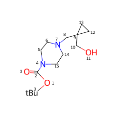 CC(C)(C)OC(=O)N1CCN(CC2(CO)CC2)CC1